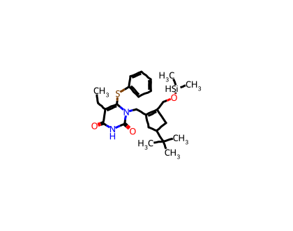 CCc1c(Sc2ccccc2)n(CC2=C(CO[SiH](C)C)CC(C(C)(C)C)C2)c(=O)[nH]c1=O